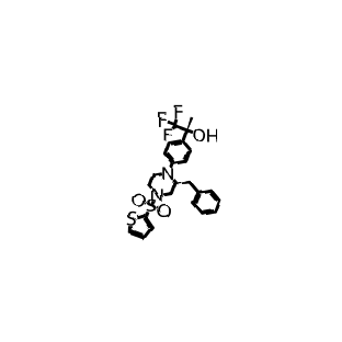 C[C@@](O)(c1ccc(N2CCN(S(=O)(=O)c3cccs3)C[C@@H]2Cc2ccccc2)cc1)C(F)(F)F